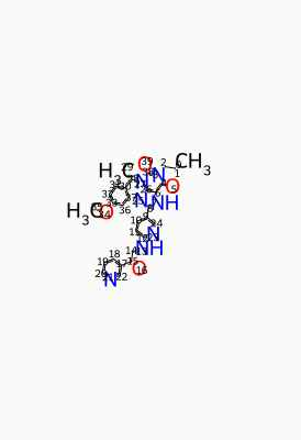 CCCn1c(=O)c2[nH]c(-c3ccc(NCC(=O)c4cccnc4)nc3)nc2n(C(C)c2ccc(OC)cc2)c1=O